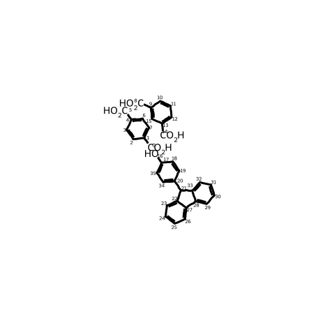 O=C(O)c1ccc(C(=O)O)cc1.O=C(O)c1cccc(C(=O)O)c1.Oc1ccc(C2c3ccccc3-c3ccccc32)cc1